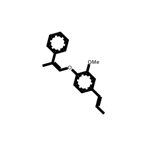 C/C=C/c1ccc(OC=C(C)c2ccccc2)c(OC)c1